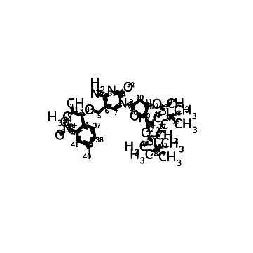 CC(C)C(OCc1cn([C@H]2C[C@@H](O[Si](C)(C)C(C)(C)C)[C@@H](CO[Si](C)(C)C(C)(C)C)O2)c(=O)nc1N)c1ccc(I)cc1[N+](=O)[O-]